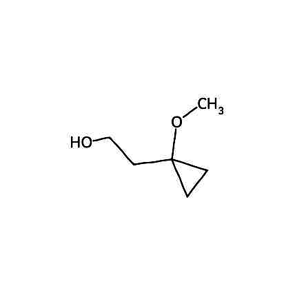 COC1(CCO)CC1